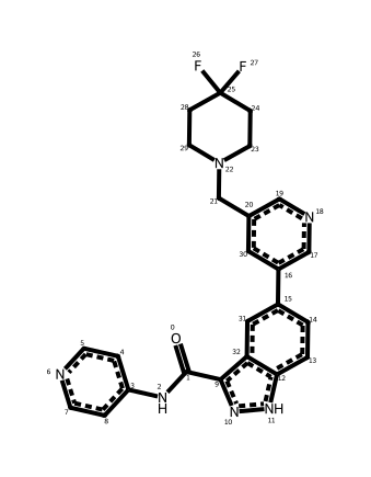 O=C(Nc1ccncc1)c1n[nH]c2ccc(-c3cncc(CN4CCC(F)(F)CC4)c3)cc12